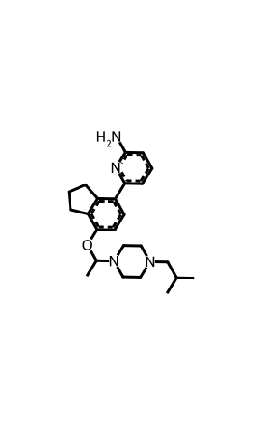 CC(C)CN1CCN(C(C)Oc2ccc(-c3cccc(N)n3)c3c2CCC3)CC1